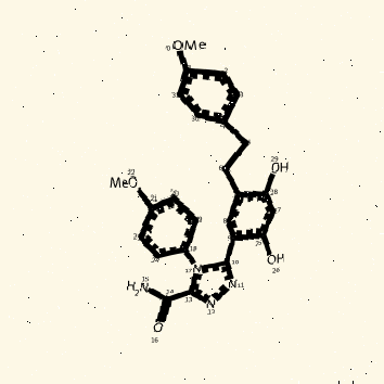 COc1ccc(CCc2cc(-c3nnc(C(N)=O)n3-c3ccc(OC)cc3)c(O)cc2O)cc1